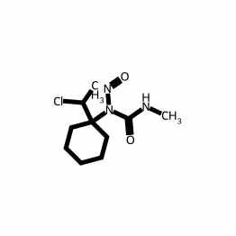 CNC(=O)N(N=O)C1(C(C)Cl)CCCCC1